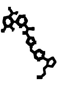 O=C(Nc1cnn(Cc2cnc(N3CCCC3CCO)nc2)c1)c1cncc(-c2c(C(F)F)ccc(Cl)c2F)n1